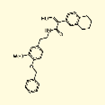 COc1cc(CCNC(=O)C(=CO)c2ccc3c(c2)CCCC3)ccc1OCc1ccccc1